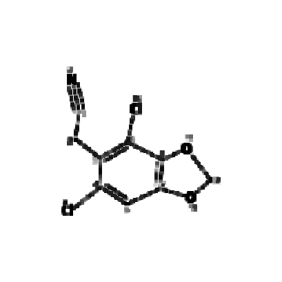 N#CCc1c(Cl)cc2c(c1Cl)OCO2